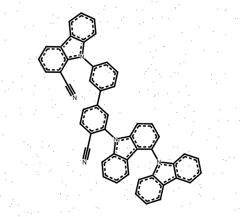 N#Cc1ccc(-c2cccc(-n3c4ccccc4c4cccc(C#N)c43)c2)cc1-n1c2ccccc2c2c(-n3c4ccccc4c4ccccc43)cccc21